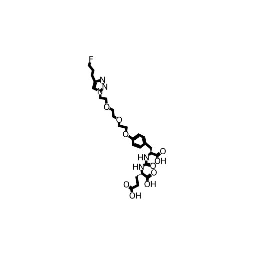 O=C(O)CC[C@H](NC(=O)N[C@@H](Cc1ccc(OCCOCCOCCn2cc(CCCF)nn2)cc1)C(=O)O)C(=O)O